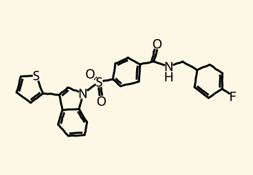 O=C(NCC1C=CC(F)=CC1)c1ccc(S(=O)(=O)n2cc(-c3cccs3)c3ccccc32)cc1